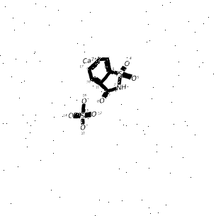 O=C1NS(=O)(=O)c2ccccc21.O=S(=O)([O-])[O-].[Ca+2]